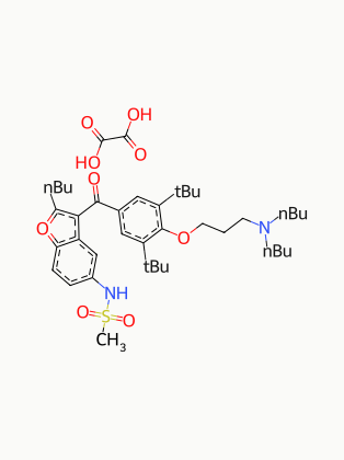 CCCCc1oc2ccc(NS(C)(=O)=O)cc2c1C(=O)c1cc(C(C)(C)C)c(OCCCN(CCCC)CCCC)c(C(C)(C)C)c1.O=C(O)C(=O)O